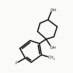 Cc1cc(F)ccc1C1(O)CCC(O)CC1